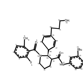 Cc1cccc(F)c1C(=O)N1CCCC(C(=O)Nc2cccc(C(C)(C)C)c2)[C@@H]1C1C=CC(CCCO)=CC1